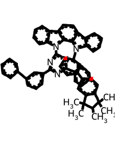 CC1C(C)(C)c2ccc(-c3cccc(-n4c5ccccc5c5ccc6c7ccccc7n(-c7nc(-c8ccccc8)nc(-c8cccc(-c9ccccc9)c8)n7)c6c54)c3)cc2C1(C)C